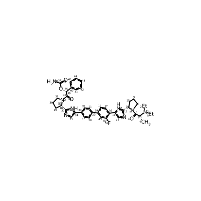 CCN(CC)[C@H](C)C(=O)N1CCC[C@H]1c1ncc(-c2ccc(-c3ccc(-c4cnc([C@@H]5CCCN5C(=O)[C@H](OC(N)=O)c5ccccc5)[nH]4)cc3)cc2F)[nH]1